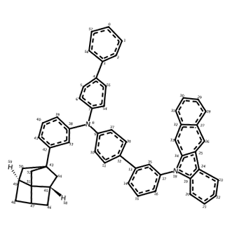 c1ccc(-c2ccc(N(c3ccc(-c4cccc(-n5c6ccccc6c6cc7ccccc7cc65)c4)cc3)c3cccc(C45C[C@@H]6CC7C[C@@H](C4)C76C5)c3)cc2)cc1